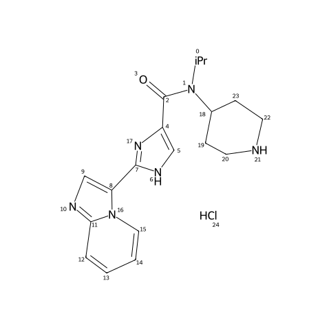 CC(C)N(C(=O)c1c[nH]c(-c2cnc3ccccn23)n1)C1CCNCC1.Cl